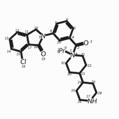 CC(C)[N+]1(C(=O)c2cccc(N3Cc4cccc(Cl)c4C3=O)c2)CCC(C2CCNCC2)CC1